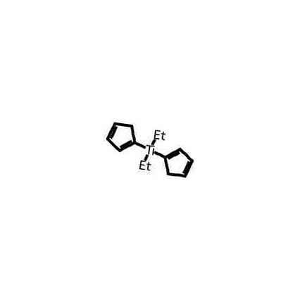 C[CH2][Ti]([CH2]C)([C]1=CC=CC1)[C]1=CC=CC1